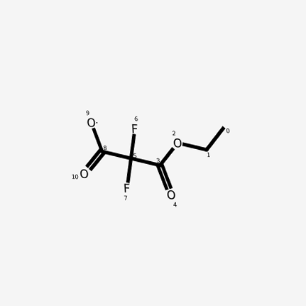 CCOC(=O)C(F)(F)C([O])=O